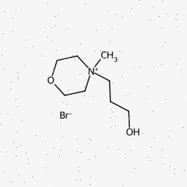 C[N+]1(CCCO)CCOCC1.[Br-]